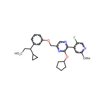 COc1cc(-c2ncc(COc3cccc(C(CC(=O)O)C4CC4)c3)nc2OC2CCCC2)c(F)cn1